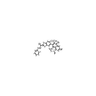 O=C(O)c1c(-c2ccc3c(c2)CN(C(=O)OCc2ccccc2)C3)n(C2CC2)c2c(CF)cc(F)cc2c1=O